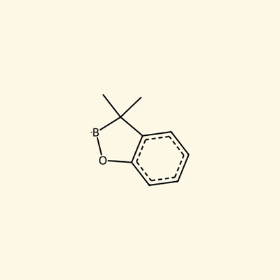 CC1(C)[B]Oc2ccccc21